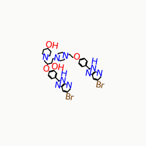 OC1CCN(CC(Oc2ccc(-c3nc4cc(Br)cnc4[nH]3)cc2)C(O)CN2CCN(CCOc3ccc(-c4nc5cc(Br)cnc5[nH]4)cc3)CC2)CC1